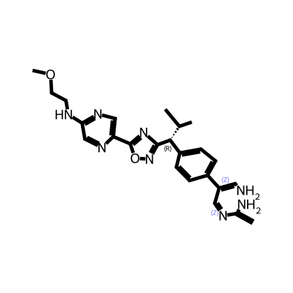 C=C(N)/N=C\C(=C/N)c1ccc([C@H](c2noc(-c3cnc(NCCOC)cn3)n2)C(C)C)cc1